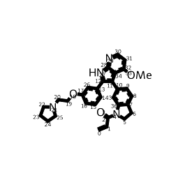 C=CC(=O)N1CCc2ccc(-c3c(-c4cccc(OCCN5CCCC5)c4)[nH]c4nccc(OC)c34)cc21